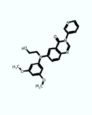 COc1cc(OC)cc(N(CCO)c2ccc3ncn(-c4cccnc4)c(=O)c3c2)c1